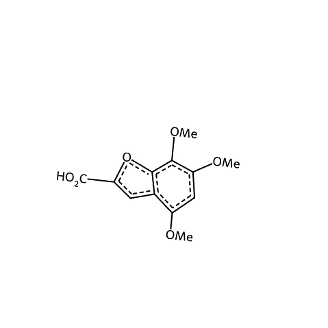 COc1cc(OC)c2cc(C(=O)O)oc2c1OC